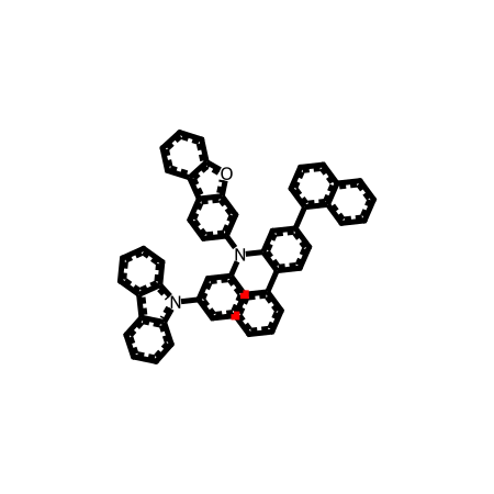 c1ccc(-c2ccc(-c3cccc4ccccc34)cc2N(c2cccc(-n3c4ccccc4c4ccccc43)c2)c2ccc3c(c2)oc2ccccc23)cc1